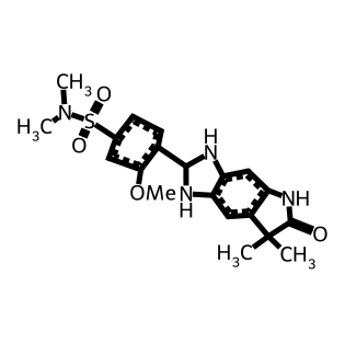 COc1cc(S(=O)(=O)N(C)C)ccc1C1Nc2cc3c(cc2N1)C(C)(C)C(=O)N3